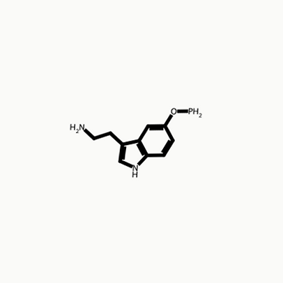 NCCc1c[nH]c2ccc(OP)cc12